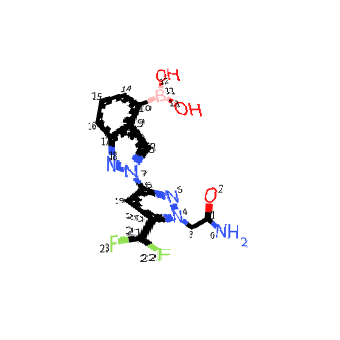 NC(=O)Cn1nc(-n2cc3c(B(O)O)cccc3n2)cc1C(F)F